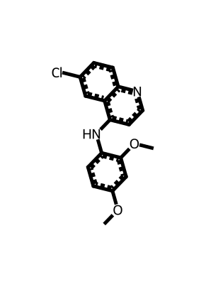 COc1ccc(Nc2ccnc3ccc(Cl)cc23)c(OC)c1